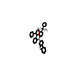 CC(C)(c1ccccc1)c1ccc(N(c2ccc3c(c2)sc2ccccc23)c2ccccc2-c2ccccc2-c2ccccc2)cc1